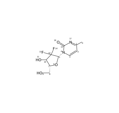 Cc1ccn([C@@H]2O[C@H](CO)C(O)C2(F)F)c(=O)n1